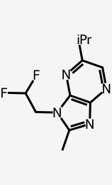 Cc1nc2ncc(C(C)C)nc2n1CC(F)F